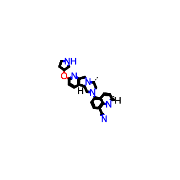 [2H]c1ccc2c(N3C[C@@H](C)N4Cc5nc(O[C@H]6CCNC6)ccc5[C@H]4C3)ccc(C#N)c2n1